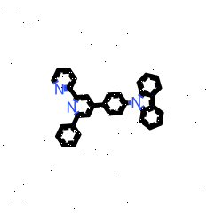 c1ccc(-c2cc(-c3ccc(-n4c5ccccc5c5ccccc54)cc3)cc(-c3ccccn3)n2)cc1